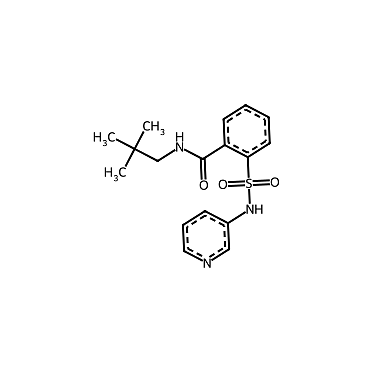 CC(C)(C)CNC(=O)c1ccccc1S(=O)(=O)Nc1cccnc1